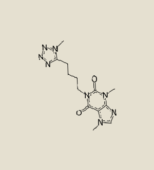 Cn1nnnc1CCCCn1c(=O)c2c(ncn2C)n(C)c1=O